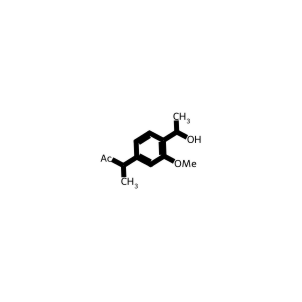 COc1cc(C(C)C(C)=O)ccc1C(C)O